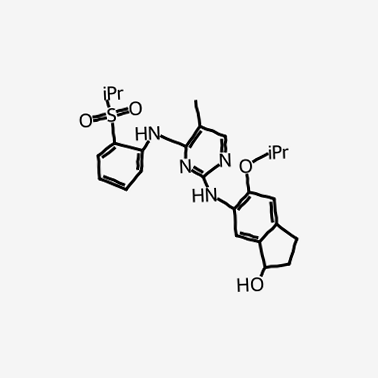 Cc1cnc(Nc2cc3c(cc2OC(C)C)CCC3O)nc1Nc1ccccc1S(=O)(=O)C(C)C